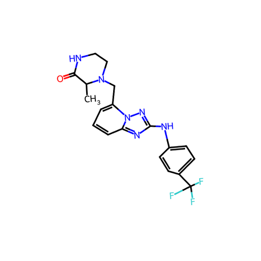 CC1C(=O)NCCN1Cc1cccc2nc(Nc3ccc(C(F)(F)F)cc3)nn12